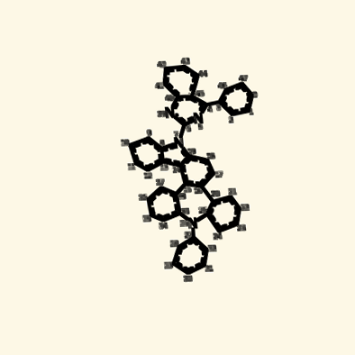 c1ccc(-c2nc(-n3c4ccccc4c4c5c(ccc43)-c3ccccc3N(c3ccccc3)c3ccccc3-5)nc3ccccc23)cc1